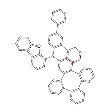 c1ccc(-c2ccc(N(c3ccc4c(c3)-c3ccccc3-c3ccccc3-c3ccccc3-4)c3cccc4c3oc3ccccc34)c(-c3ccccc3)c2)cc1